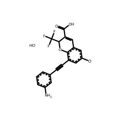 Cl.Nc1cccc(C#Cc2cc(Cl)cc3c2OC(C(F)(F)F)C(C(=O)O)=C3)c1